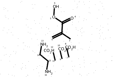 C=C(C)C(=O)OO.CC(=O)O.CC(=O)O.CC(=O)O.NCCN